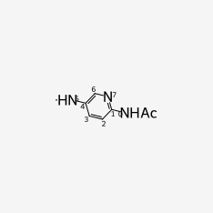 CC(=O)Nc1ccc([NH])cn1